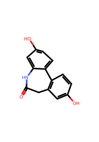 O=C1Cc2cc(O)ccc2-c2ccc(O)cc2N1